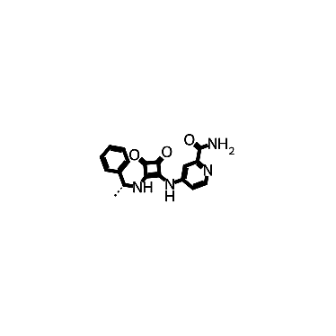 C[C@@H](Nc1c(Nc2ccnc(C(N)=O)c2)c(=O)c1=O)c1ccccc1